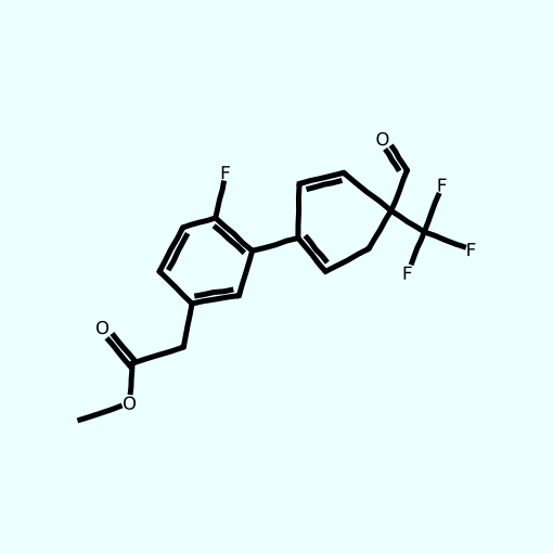 COC(=O)Cc1ccc(F)c(C2=CCC(C=O)(C(F)(F)F)C=C2)c1